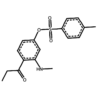 CCC(=O)c1ccc(OS(=O)(=O)c2ccc(C)cc2)cc1NC